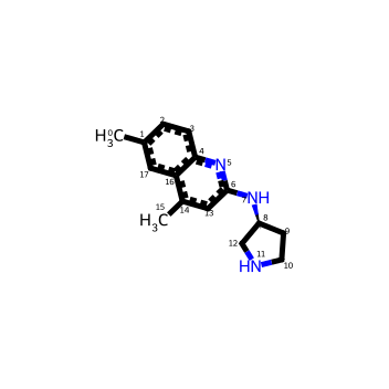 Cc1ccc2nc(N[C@H]3CCNC3)cc(C)c2c1